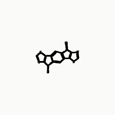 O=c1c2cc3c(cc2c2scnc12)c(=O)c1ncsc13